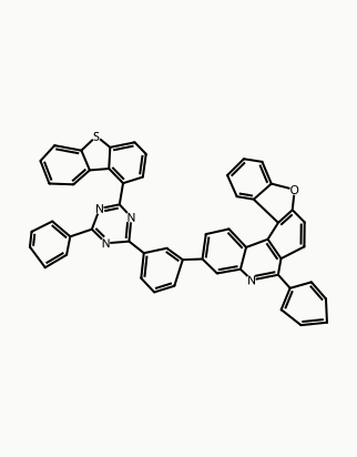 c1ccc(-c2nc(-c3cccc(-c4ccc5c(c4)nc(-c4ccccc4)c4ccc6oc7ccccc7c6c45)c3)nc(-c3cccc4sc5ccccc5c34)n2)cc1